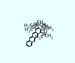 C[Si]1(C)O[Si](C)(C)c2c1c1c(c3cc4cc5ccccc5cc4cc23)[Si](C)(C)O[Si]1(C)C